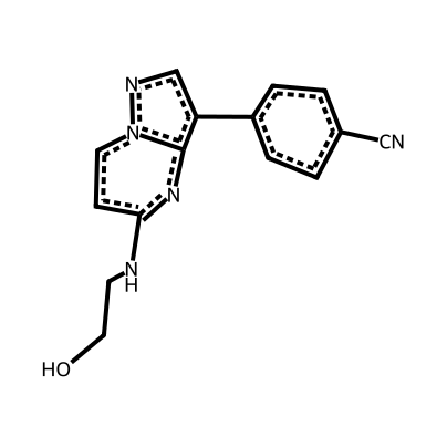 N#Cc1ccc(-c2cnn3ccc(NCCO)nc23)cc1